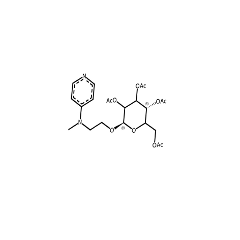 CC(=O)OCC1O[C@@H](OCCN(C)c2ccncc2)C(OC(C)=O)C(OC(C)=O)[C@@H]1OC(C)=O